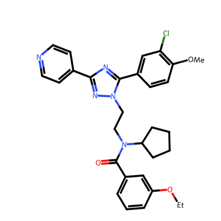 CCOc1cccc(C(=O)N(CCn2nc(-c3ccncc3)nc2-c2ccc(OC)c(Cl)c2)C2CCCC2)c1